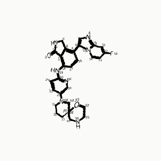 O=C1NCc2c(-c3cnc4cc(F)ccn34)ccc(Nc3ccc(N4CCC[C@@]5(CNCCO5)C4)cn3)c21